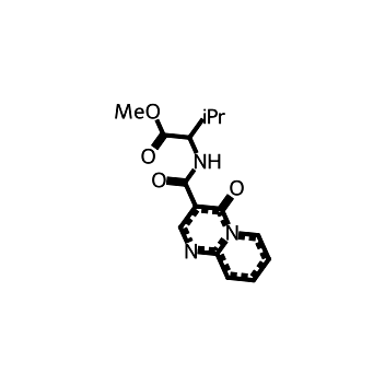 COC(=O)C(NC(=O)c1cnc2ccccn2c1=O)C(C)C